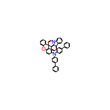 c1ccc(-c2ccc(N(c3ccc(-c4ccccc4)cc3)c3ccc4c(c3)C3(c5ccccc5O4)c4ccccc4-n4c5ccccc5c5cccc3c54)cc2)cc1